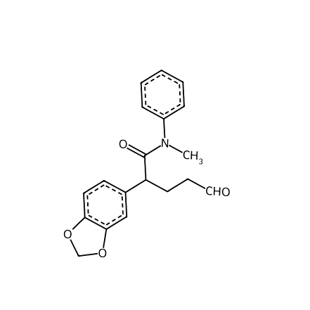 CN(C(=O)C(CCC=O)c1ccc2c(c1)OCO2)c1ccccc1